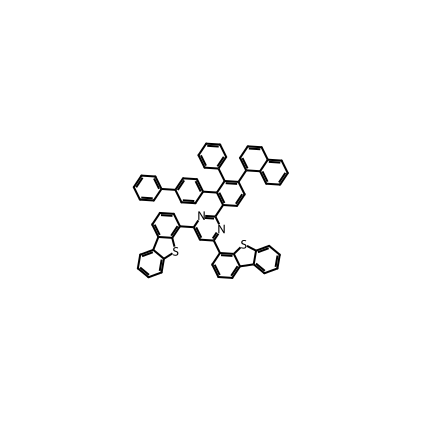 c1ccc(-c2ccc(-c3c(-c4nc(-c5cccc6c5sc5ccccc56)cc(-c5cccc6c5sc5ccccc56)n4)ccc(-c4cccc5ccccc45)c3-c3ccccc3)cc2)cc1